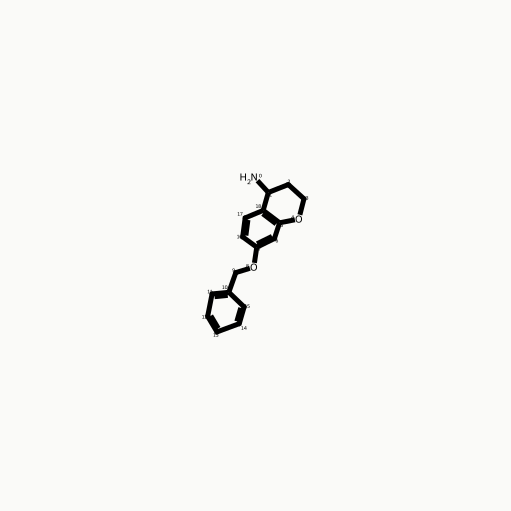 NC1CCOc2cc(OCc3ccccc3)ccc21